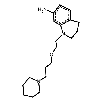 Nc1ccc2c(c1)N(CCOCCCN1CCCCC1)CCC2